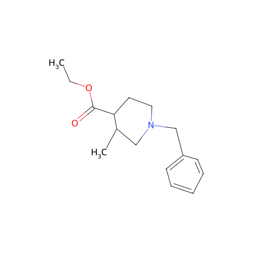 CCOC(=O)C1CCN(Cc2ccccc2)CC1C